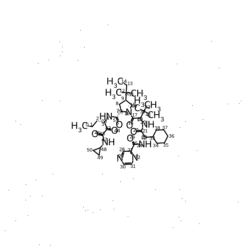 CCC[C@H](NC(=O)[C@@H]1CC(C(C)(C)CC)CN1C(=O)[C@@H](NC(=O)[C@@H](NC(=O)c1cnccn1)C1CCCCC1)C(C)(C)C)C(=O)C(=O)NC1CC1